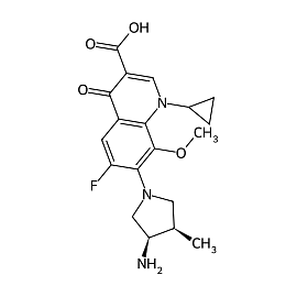 COc1c(N2C[C@@H](C)[C@@H](N)C2)c(F)cc2c(=O)c(C(=O)O)cn(C3CC3)c12